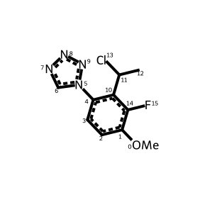 COc1ccc(-n2cnnn2)c(C(C)Cl)c1F